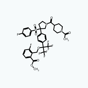 COC(=O)c1cccc(F)c1COC(c1ccc(C2(S(=O)(=O)c3ccc(F)cc3)CCN(C(=O)C3CCN(C(C)=O)CC3)C2)cc1)(C(F)(F)F)C(F)(F)F